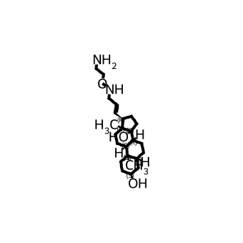 C[C@]12CC[C@H](O)C[C@H]1CC[C@@H]1[C@@H]2CC[C@]2(C)[C@@H](C=CCNOCCN)CC[C@]12O